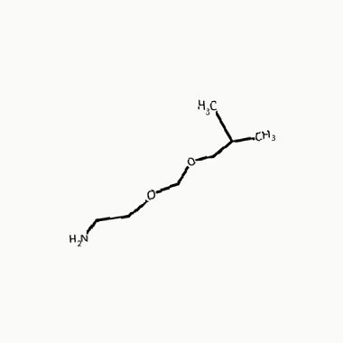 CC(C)COCOCCN